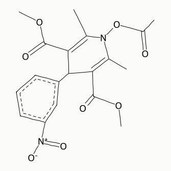 COC(=O)C1=C(C)N(OC(C)=O)C(C)=C(C(=O)OC)C1c1cccc([N+](=O)[O-])c1